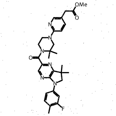 COC(=O)Cc1ccc(N2CCN(C(=O)c3cnc4c(n3)C(C)(C)CN4c3ccc(C)c(F)c3)C(C)(C)C2)nc1